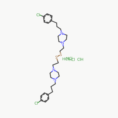 Cl.Cl.Cl.Cl.Clc1ccc(CCCN2CCN(CCSSCCN3CCN(CCCc4ccc(Cl)cc4)CC3)CC2)cc1